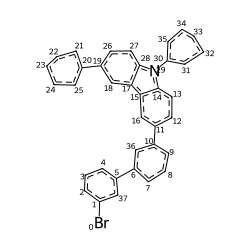 Brc1cccc(-c2cccc(-c3ccc4c(c3)c3cc(-c5ccccc5)ccc3n4-c3ccccc3)c2)c1